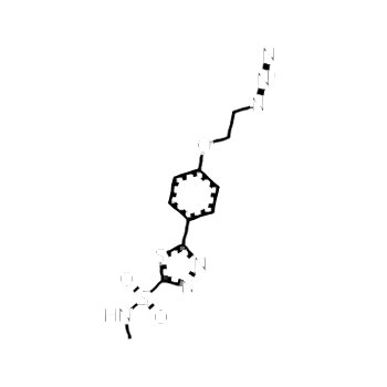 CNS(=O)(=O)c1nnc(-c2ccc(OCCN=[N+]=[N-])cc2)s1